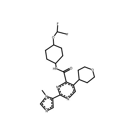 Cn1cncc1-c1ncc(C2CCOCC2)c(C(=O)NC2CCC(OC(F)F)CC2)n1